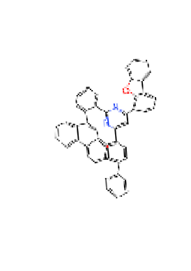 c1ccc(-c2ccc(-c3cc(-c4cccc5c4oc4ccccc45)nc(-c4ccccc4-c4cc5ccccc5c5ccccc45)n3)cc2)cc1